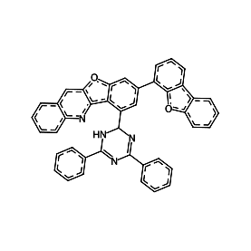 c1ccc(C2=NC(c3cc(-c4cccc5c4oc4ccccc45)cc4oc5cc6ccccc6nc5c34)NC(c3ccccc3)=N2)cc1